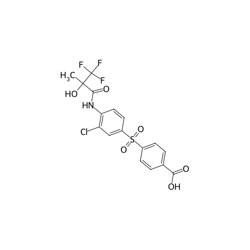 CC(O)(C(=O)Nc1ccc(S(=O)(=O)c2ccc(C(=O)O)cc2)cc1Cl)C(F)(F)F